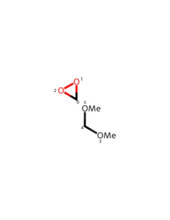 C1OO1.COCOC